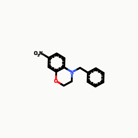 O=[N+]([O-])c1ccc2c(c1)OCCN2Cc1ccccc1